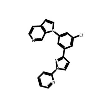 Clc1cc(-c2ccn(-c3ccccn3)n2)cc(-n2ccc3ccncc32)c1